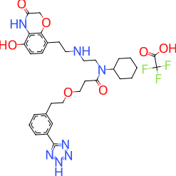 O=C(O)C(F)(F)F.O=C1COc2c(CCNCCN(C(=O)CCOCCc3cccc(-c4nn[nH]n4)c3)C3CCCCC3)ccc(O)c2N1